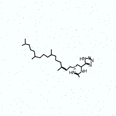 CC(=N)NC(CSCC=C(C)CCCC(C)CCCC(C)CCCC(C)C)c1nnn[nH]1